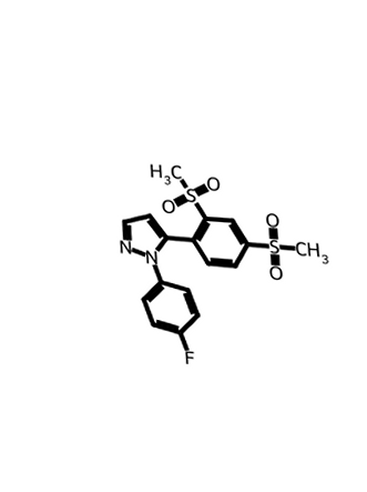 CS(=O)(=O)c1ccc(-c2ccnn2-c2ccc(F)cc2)c(S(C)(=O)=O)c1